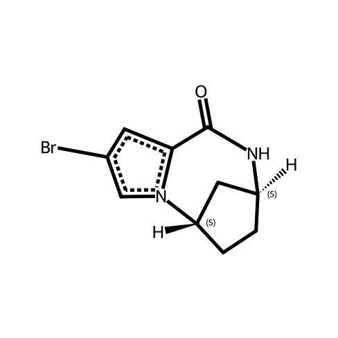 O=C1N[C@H]2CC[C@@H](C2)n2cc(Br)cc21